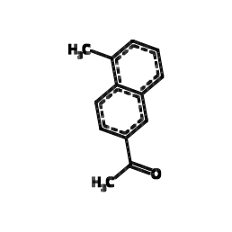 CC(=O)c1ccc2c(C)cccc2c1